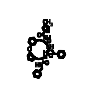 Cn1cnc(C(=O)N[C@H]2Cc3cccc(c3)Oc3cccc(c3)C[C@@H](C(=O)NCc3ccccc3)NC(=O)[C@H](CCc3ccccc3)NC2=O)c1